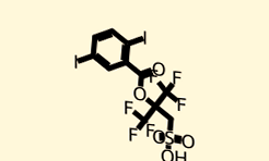 O=C(OC(CS(=O)(=O)O)(C(F)(F)F)C(F)(F)F)c1cc(I)ccc1I